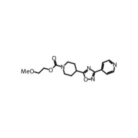 COCCOC(=O)N1CCC(c2nc(-c3ccncc3)no2)CC1